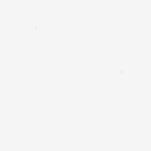 COc1ccc(C(c2ccc(Cl)cc2)c2ccc(OC)cc2)cc1